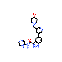 O=C(Nc1cnccn1)c1n[nH]c2ccc(-c3cncc(CN4CCC(O)CC4)c3)cc12